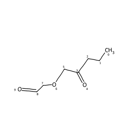 CCCC(=O)COCC=O